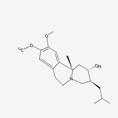 COc1cc2c(cc1O[11CH3])CCN1C[C@H](CC(C)C)[C@@H](O)C[C@@]21C